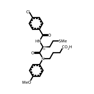 COc1ccc(N(CCCC(=O)O)C(=O)[C@H](CCSC)NC(=O)c2ccc(Cl)cc2)cc1